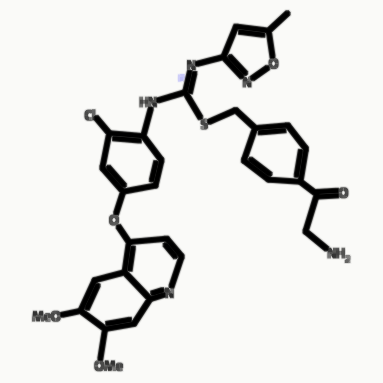 COc1cc2nccc(Oc3ccc(N/C(=N/c4cc(C)on4)SCc4ccc(C(=O)CN)cc4)c(Cl)c3)c2cc1OC